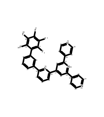 Fc1c(F)c(F)c(-c2cccc(-c3cccc(-c4cc(-c5ccncc5)nc(-c5ccncc5)c4)n3)c2)c(F)c1F